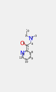 [CH2]CN(C)CC(=O)c1ccccn1